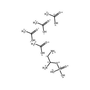 CC(=O)O.CC(=O)O.CC(=O)O.CC(=O)O.NCC(N)OP(=O)(O)O